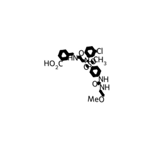 COCCNC(=O)Nc1ccc(S(=O)(=O)N(CC(=O)NCc2cccc(C(=O)O)c2)c2cccc(Cl)c2C)cc1